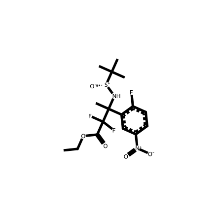 CCOC(=O)C(F)(F)C(C)(N[S@+]([O-])C(C)(C)C)c1cc([N+](=O)[O-])ccc1F